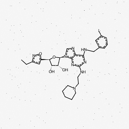 CCc1cc([C@H]2O[C@@H](n3cnc4c(NCc5cccc(I)c5)nc(NCCN5CCCCC5)nc43)[C@H](O)[C@@H]2O)on1